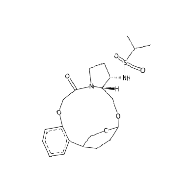 CC(C)S(=O)(=O)N[C@H]1CCN2C(=O)COc3ccccc3C3CCC(CC3)OC[C@@H]12